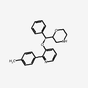 Cc1ccc(-c2ncccc2O[C@@H](c2ccccc2)C2CNCCO2)cc1